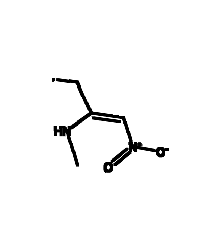 [CH2]CC(=C[N+](=O)[O-])NC